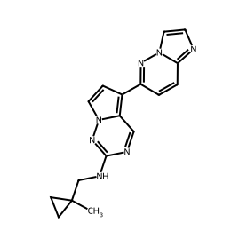 CC1(CNc2ncc3c(-c4ccc5nccn5n4)ccn3n2)CC1